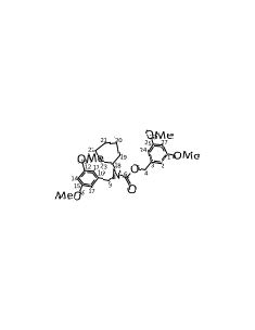 COc1cc(COC(=O)N(Cc2cc(OC)cc(OC)c2)C2CCCCC2)cc(OC)c1